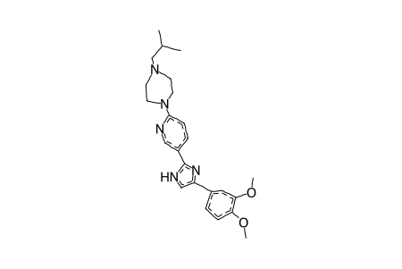 COc1ccc(-c2c[nH]c(-c3ccc(N4CCN(CC(C)C)CC4)nc3)n2)cc1OC